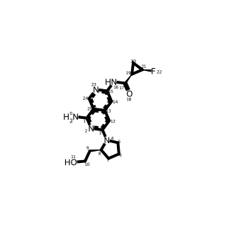 Nc1nc(N2CCC[C@H]2CCO)cc2cc(NC(=O)[C@H]3C[C@H]3F)ncc12